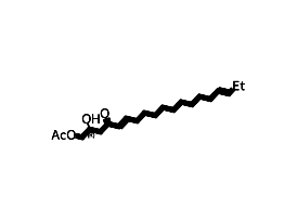 CCC=CCCCCCCCCCC=CC(=O)C[C@@H](O)COC(C)=O